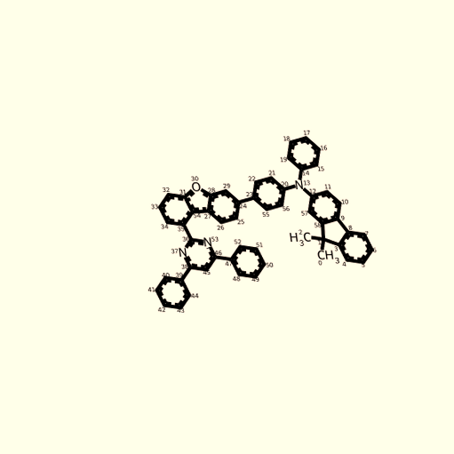 CC1(C)c2ccccc2-c2ccc(N(c3ccccc3)c3ccc(-c4ccc5c(c4)oc4cccc(-c6nc(-c7ccccc7)cc(-c7ccccc7)n6)c45)cc3)cc21